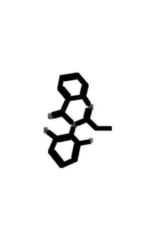 CCc1nc2ccccc2c(=O)n1-c1c(F)cccc1F